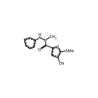 CSc1sc(C(=O)N(C)Nc2ccccc2)cc1C#N